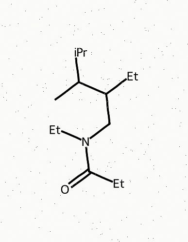 CCC(=O)N(CC)CC(CC)C(C)C(C)C